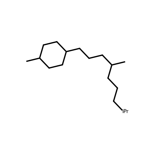 CC(C)CCCC(C)CCCC1CCC(C)CC1